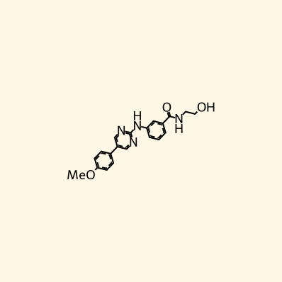 COc1ccc(-c2cnc(Nc3cccc(C(=O)NCCO)c3)nc2)cc1